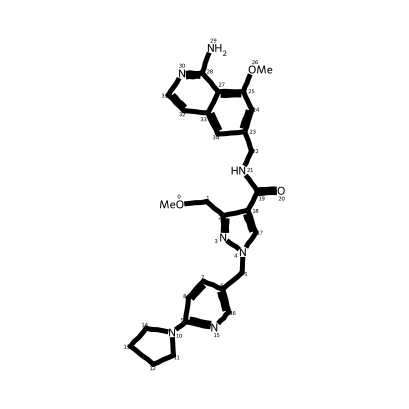 COCc1nn(Cc2ccc(N3CCCC3)nc2)cc1C(=O)NCc1cc(OC)c2c(N)nccc2c1